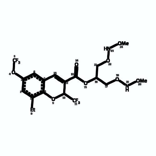 CCc1cc(OC(F)(F)F)cc2c1OC(C(F)(F)F)C(C(=O)OC(CONOC)CONOC)=C2